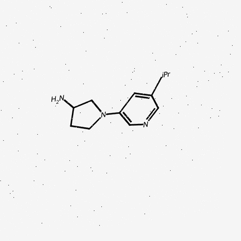 CC(C)c1cncc(N2CCC(N)C2)c1